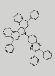 c1ccc(-c2nc3ccc(-n4c5cc(-c6ccccc6)c6ccccc6c5c5c6ccccc6c(-c6ccccc6)cc54)cc3nc2-c2ccccc2)cc1